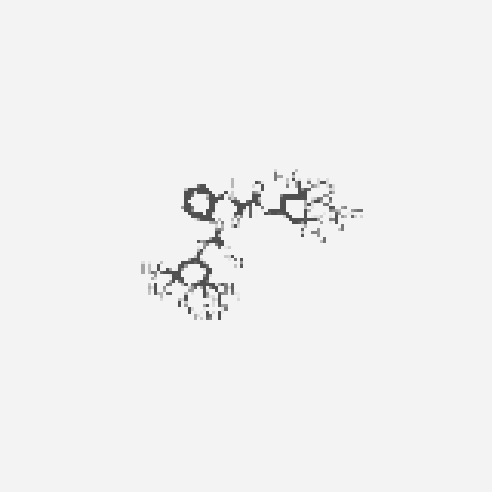 CCCCCCCCON1C(C)(C)CC(NC(=O)C(=O)Nc2ccccc2OC(=C=O)OC2CC(C)(C)N(OCCCCCCCC)C(C)(C)C2)CC1(C)C